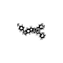 C[C@]12Cc3cnn(-c4ccc(F)cc4)c3C=C1CC[C@@H]2CN(CCc1ccccn1)S(=O)(=O)Cc1ccncc1